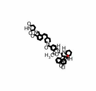 COc1cc(C(=O)N2CCC(/C=C\c3cccc4c3CN(C3CCC(=O)NC3=O)C4=O)CC2)ccc1NC(=O)[C@@H]1NC2(CCCCC2)[C@@]2(C(=O)Nc3cc(Cl)ccc32)[C@H]1c1cccc(Cl)c1F